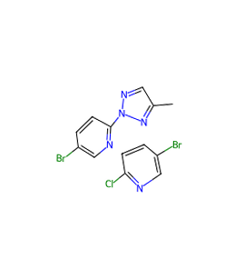 Cc1cnn(-c2ccc(Br)cn2)n1.Clc1ccc(Br)cn1